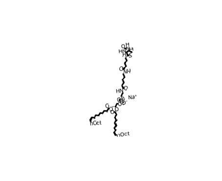 CCCCCCCC/C=C\CCCCCCCC(=O)OC[C@H](COP(=O)([O-])OCCNC(=O)CCCCCNC(=O)CCCC[C@@H]1SC[C@@H]2NC(=O)N[C@@H]21)OC(=O)CCCCCCC/C=C\CCCCCCCC.[Na+]